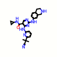 CC(C)(C#N)c1cccc(Nc2nc(Nc3ccc4c(c3)CNCC4)ncc2C(=O)NC2CC2)n1